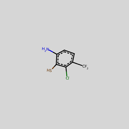 Nc1ccc(C(F)(F)F)c(Cl)c1S